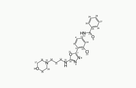 O=C(Nc1ccc(-c2nnc(NCCCN3CCOCC3)o2)c(Cl)c1)c1ccccc1